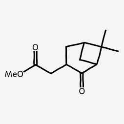 COC(=O)CC1CC2CC(C1=O)C2(C)C